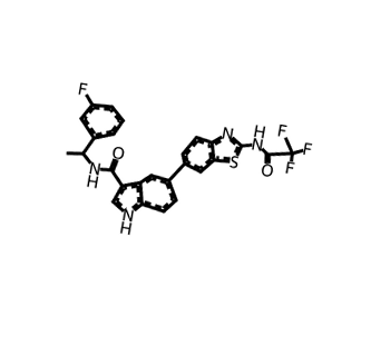 CC(NC(=O)c1c[nH]c2ccc(-c3ccc4nc(NC(=O)C(F)(F)F)sc4c3)cc12)c1cccc(F)c1